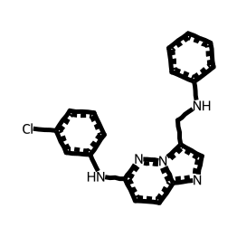 Clc1cccc(Nc2ccc3ncc(CNc4ccccc4)n3n2)c1